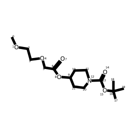 COCCOCC(=O)OC1CCN(C(=O)OC(C)(C)C)CC1